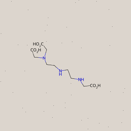 O=C(O)CNCCNCCN(CC(=O)O)CC(=O)O